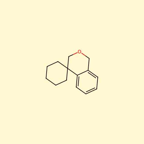 c1ccc2c(c1)COCC21CCCCC1